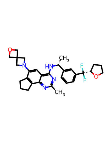 Cc1nc(N[C@H](C)c2cccc(C(F)(F)[C@@H]3CCCO3)c2)c2cc(N3CC4(COC4)C3)c3c(c2n1)CCC3